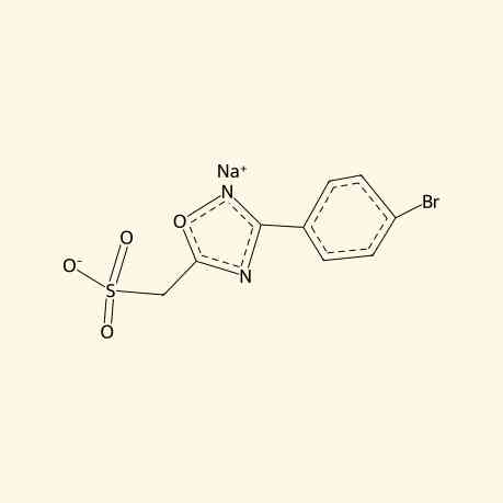 O=S(=O)([O-])Cc1nc(-c2ccc(Br)cc2)no1.[Na+]